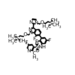 Cc1ncc(F)cc1S(=O)(=O)Nc1cc(F)cc(-c2ccc3c(-c4nccn4COCCS(C)(C)C)nn(COCCS(C)(C)C)c3c2F)c1F